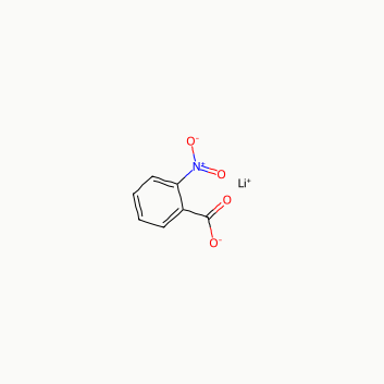 O=C([O-])c1ccccc1[N+](=O)[O-].[Li+]